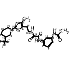 CC(=O)Nc1cccc(NC(=O)C(=O)NCCc2sc(N3CCCC(C(F)(F)F)C3)nc2C)c1